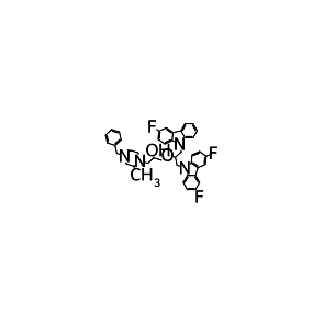 C[C@H]1CN(Cc2ccccc2)CCN1CC(O)COC(Cn1c2ccccc2c2cc(F)ccc21)Cn1c2ccc(F)cc2c2cc(F)ccc21